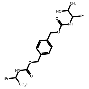 CC(C)C(NC(=O)OCc1ccc(COC(=O)NC(C(C)C)C(C)O)cc1)C(=O)O